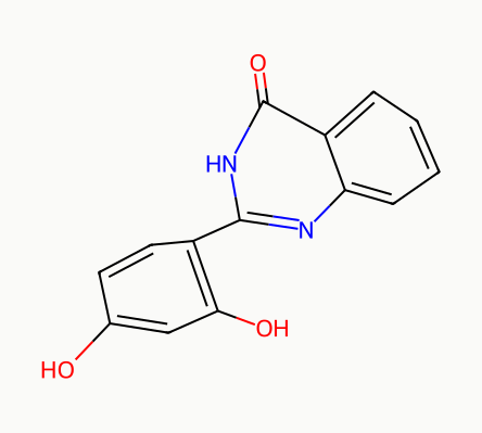 O=c1[nH]c(-c2ccc(O)cc2O)nc2ccccc12